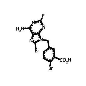 Nc1nc(F)nc2c1nc(Br)n2Cc1ccc(Br)c(C(=O)O)c1